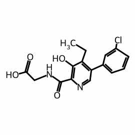 CCc1c(-c2cccc(Cl)c2)cnc(C(=O)NCC(=O)O)c1O